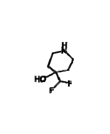 OC1(C(F)F)CCNCC1